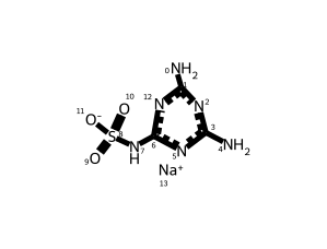 Nc1nc(N)nc(NS(=O)(=O)[O-])n1.[Na+]